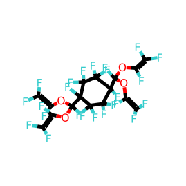 FC(F)=C(F)OC(F)(OC(F)=C(F)F)C1(F)C(F)(F)C(F)(F)C(F)(C(F)(OC(F)=C(F)F)OC(F)=C(F)F)C(F)(F)C1(F)F